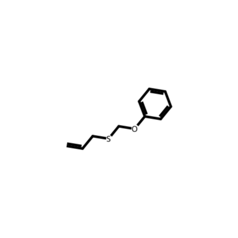 C=CCSCOc1ccccc1